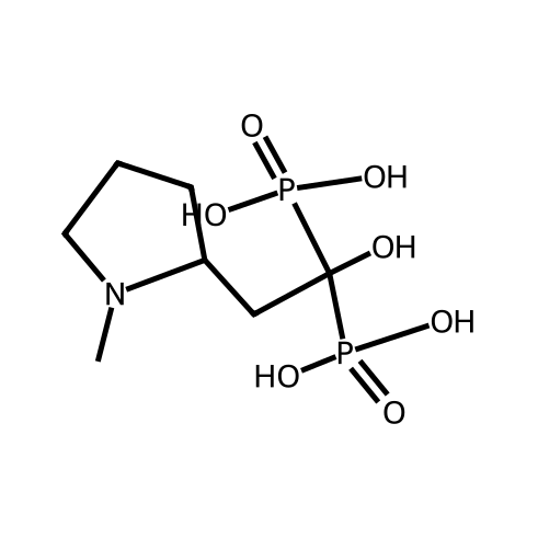 CN1CCCC1CC(O)(P(=O)(O)O)P(=O)(O)O